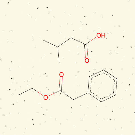 CC(C)CC(=O)O.CCOC(=O)Cc1ccccc1